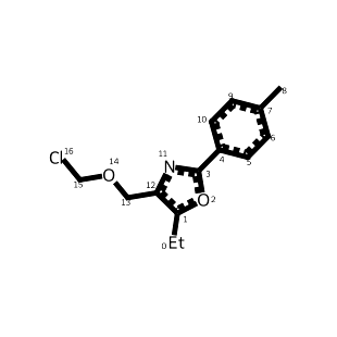 CCc1oc(-c2ccc(C)cc2)nc1COCCl